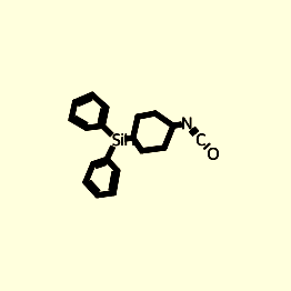 O=C=NC1CCC([SiH](c2ccccc2)c2ccccc2)CC1